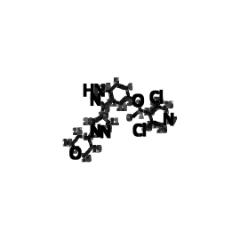 C[C@@H](Oc1ccc2[nH]nc(-c3cnn(C4CCOCC4)c3)c2c1)c1c(Cl)cncc1Cl